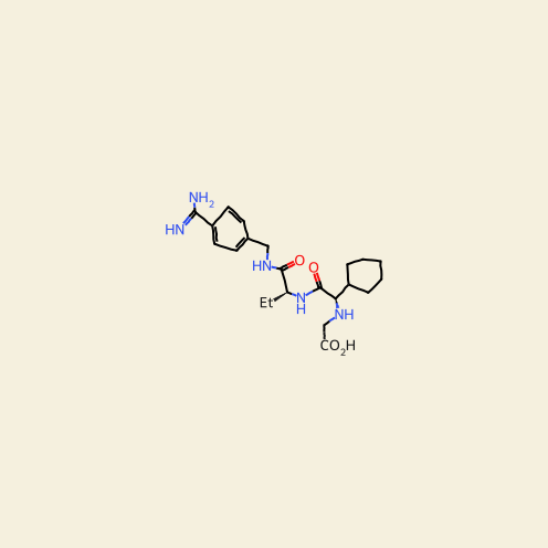 CC[C@H](NC(=O)[C@H](NCC(=O)O)C1CCCCC1)C(=O)NCc1ccc(C(=N)N)cc1